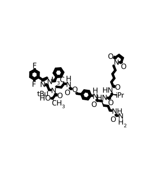 CC(C)[C@H](NC(=O)CCCCCN1C(=O)C=CC1=O)C(=O)N[C@@H](CCCNC(N)=O)C(=O)Nc1ccc(COC(=O)N[C@H](C)CCN(C(=O)[C@H](C)O)[C@@H](c2nc(-c3cc(F)ccc3F)cn2Cc2ccccc2)C(C)(C)C)cc1